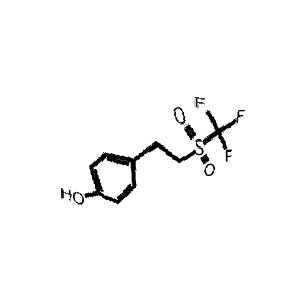 O=S(=O)(CCc1ccc(O)cc1)C(F)(F)F